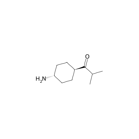 CC(C)C(=O)[C@H]1CC[C@H](N)CC1